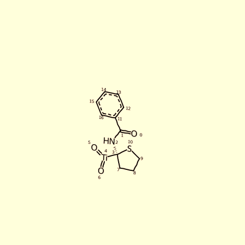 O=C(N[C@@]1([Ti](=[O])=[O])CCCS1)c1ccccc1